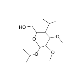 COC1C(OC(C)C)OC(CO)C(C(C)C)C1OC